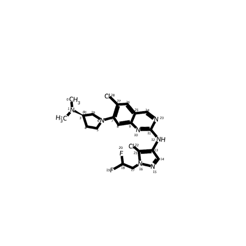 CN(C)[C@@H]1CCN(c2cc3nc(Nc4cnn(CC(F)F)c4Cl)ncc3cc2Cl)C1